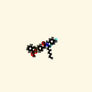 CCCCCCCN(Cc1ccc(F)cc1F)C(=O)Cc1ccc(SCc2ccccc2C(=O)OC)cc1